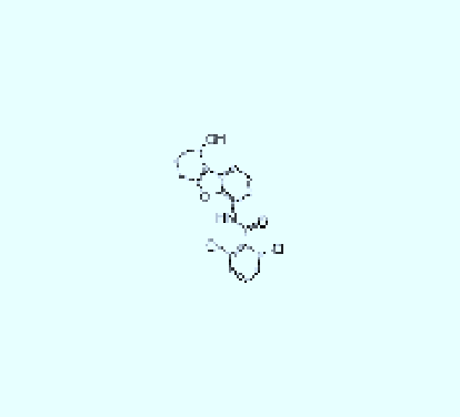 O=C(Nc1cccc2c3c(oc12)CCCC3O)c1c(Cl)cccc1Cl